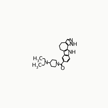 CCN(CC)C1CCN(C(=O)c2ccc3[nH]c4c(c3c2)CCCc2cn[nH]c2-4)CC1